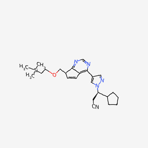 C[Si](C)(C)CCOCC1C=Cc2c(-c3cnn([C@H](CC#N)C4CCCC4)c3)ncnc21